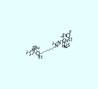 C=C(C)C1=CN2C(=CC1=C)c1cc(CC)c(CCCCCCCCCN3CCN(CC4=C(C(=C)CC)[C@H](c5ccc(F)cc5Cl)N=C(c5nccs5)N4)CC3C(=C)C)cc1CC2C(C)(C)C